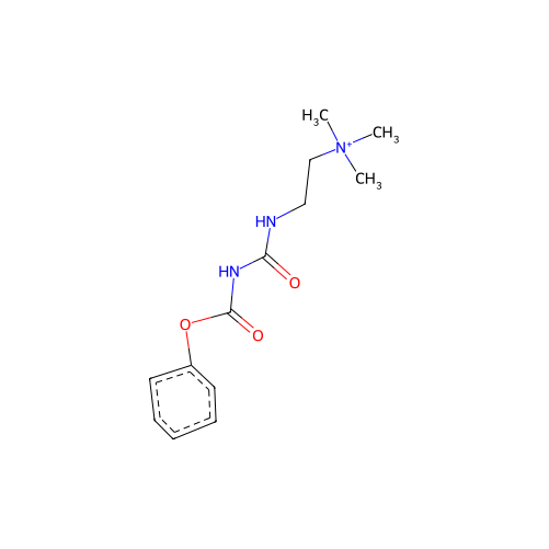 C[N+](C)(C)CCNC(=O)NC(=O)Oc1ccccc1